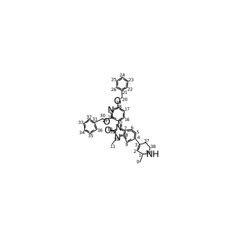 CC1C=C(c2ccc3c(c2)n(C)c(=O)n3-c2ccc(OCc3ccccc3)nc2OCc2ccccc2)CCN1